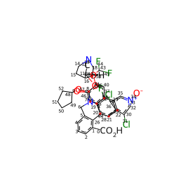 O=C(O)c1cccc(CN(C(=O)O[C@H]2CN3CCC2CC3)c2ccccc2F)c1[C@@H](Cc1c(Cl)c[n+]([O-])cc1Cl)c1ccc(OC(F)F)c(OC2CCCC2)c1